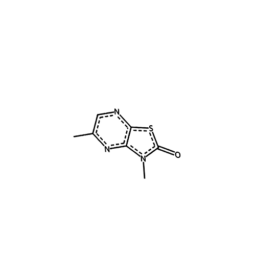 Cc1cnc2sc(=O)n(C)c2n1